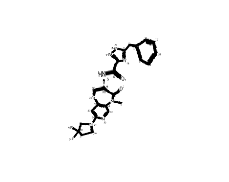 CN1C(=O)[C@@H](NC(=O)c2n[nH]c(Cc3ccccc3)n2)CSc2cc(N3CCC(F)(F)C3)ncc21